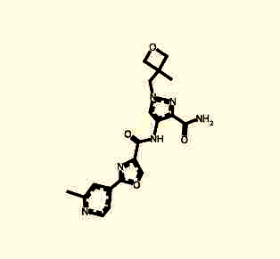 Cc1cc(-c2nc(C(=O)Nc3cn(CC4(C)COC4)nc3C(N)=O)co2)ccn1